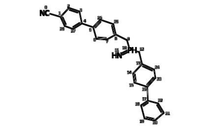 N#Cc1ccc(-c2ccc(C[PH](=N)Cc3ccc(-c4ccccc4)cc3)cc2)cc1